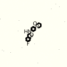 O=C(Cc1ccc(F)cc1F)Nc1ccc(N2CCCCC2=O)cc1